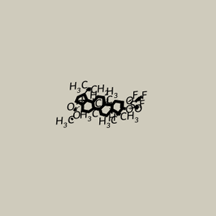 C=C(C)[C@@H]1CC[C@]2(C(=O)OC)CC[C@]3(C)[C@H](CCC4[C@@]5(C)CC=C(OS(=O)(=O)C(F)(F)F)C(C)(C)[C@@H]5CC[C@]43C)[C@@H]12